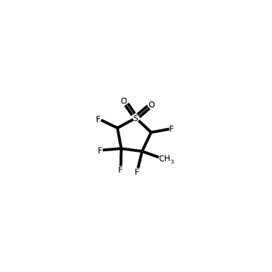 CC1(F)C(F)S(=O)(=O)C(F)C1(F)F